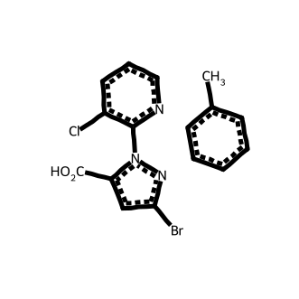 Cc1ccccc1.O=C(O)c1cc(Br)nn1-c1ncccc1Cl